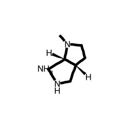 CN1CC[C@@H]2CNC[C@@H]21.N